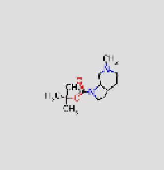 CN1CCC2CCN(C(=O)OC(C)(C)C)C2C1